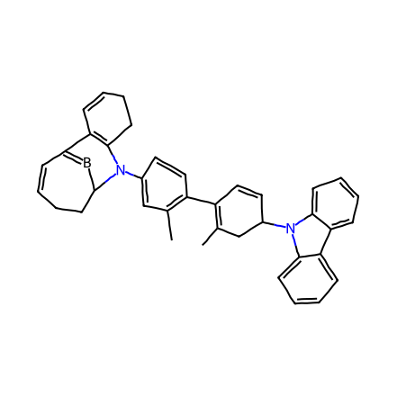 CC1=C(c2ccc(N3C4=C(C=CCC4)C4=BC3CCC=C4)cc2C)C=CC(n2c3ccccc3c3ccccc32)C1